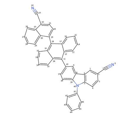 N#Cc1ccc2c(c1)c1cc(-c3c4ccccc4c(-c4ccc(C#N)c5ccccc45)c4ccccc34)ccc1n2-c1ccccc1